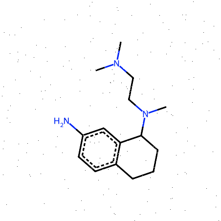 CN(C)CCN(C)C1CCCc2ccc(N)cc21